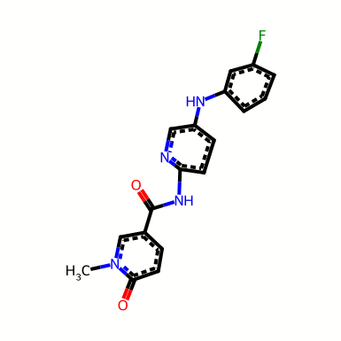 Cn1cc(C(=O)Nc2ccc(Nc3cccc(F)c3)cn2)ccc1=O